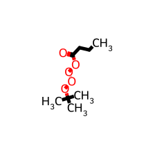 CCCC(=O)OOOOC(C)(C)C